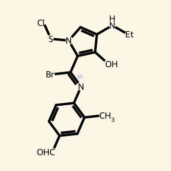 CCNc1cn(SCl)c(/C(Br)=N/c2ccc(C=O)cc2C)c1O